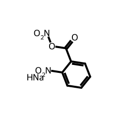 O=C(O[N+](=O)[O-])c1ccccc1[N+](=O)[O-].[NaH]